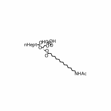 CCCCCCCC(=O)O[C@@H](COC(=O)CCCCCCCCCCCCCNC(C)=O)COP(=O)(O)O